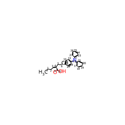 CCCC=C(CCC)C(=O)O.c1ccc(N(c2ccccc2)c2ccccc2)cc1